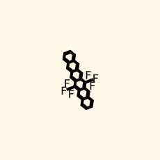 FC(F)(F)c1c2cc3ccccc3cc2c(C(F)(F)F)c2cc3cc4ccccc4cc3cc12